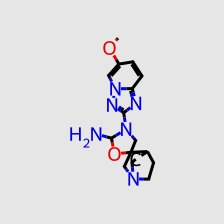 COc1ccc2nc(N3CC4(CN5CCC4CC5)OC3N)nn2c1